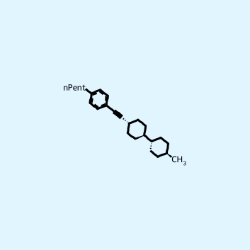 CCCCCc1ccc(C#C[C@H]2CC[C@H]([C@H]3CC[C@H](C)CC3)CC2)cc1